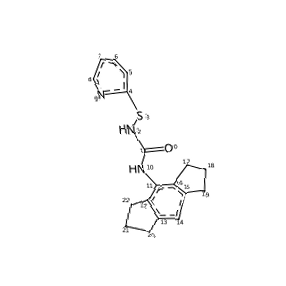 O=C(NSc1ccccn1)Nc1c2c(cc3c1CCC3)CCC2